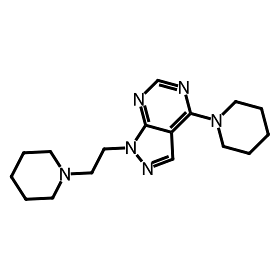 c1nc(N2CCCCC2)c2cnn(CCN3CCCCC3)c2n1